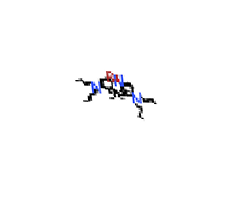 CCCCN(CCCC)c1ccc2nc3ccc(N(CCCC)CCCC)cc3[se+]c2c1.[Br-]